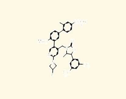 COc1ccc(-c2ccc(C(=O)O)cc2C)cc1-c1cnc(N2CC(F)C2)cc1CN1C(=O)OC(c2cc(C(F)(F)F)cc(C(F)(F)F)c2)C1C